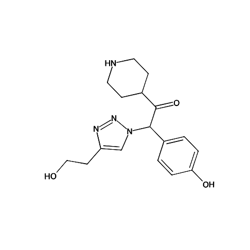 O=C(C1CCNCC1)C(c1ccc(O)cc1)n1cc(CCO)nn1